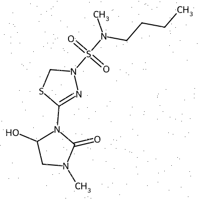 CCCCN(C)S(=O)(=O)N1CSC(N2C(=O)N(C)CC2O)=N1